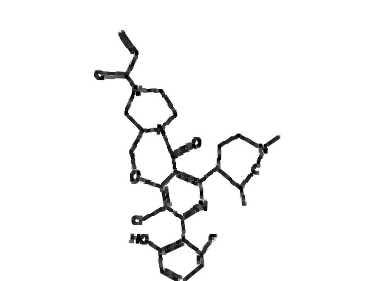 C=CC(=O)N1CCN2C(=O)c3c(C4CCN(C)CC4C)nc(-c4c(O)cccc4F)c(Cl)c3OCC2C1